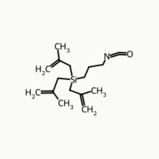 C=C(C)C[Si](CCCN=C=O)(CC(=C)C)CC(=C)C